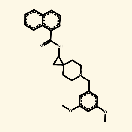 COc1cc(CN2CCC3(CC2)CC3NC(=O)c2cccc3ccccc23)cc(OC)c1